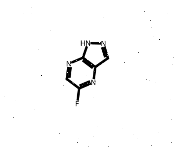 Fc1cnc2[nH]ncc2n1